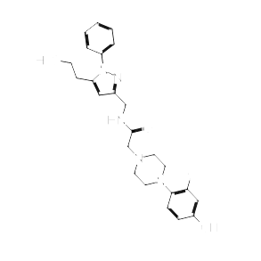 CCCc1cc(CNC(=O)CN2CCN(c3ccc(C)cc3C)CC2)nn1-c1ccccc1